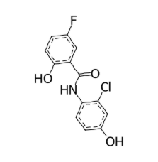 O=C(Nc1ccc(O)cc1Cl)c1cc(F)ccc1O